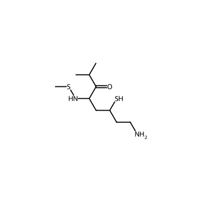 CSNC(CC(S)CCN)C(=O)C(C)C